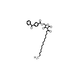 CCCCCCCCCCCCCCCC(=O)C1C(=O)OC(COC(=O)c2ccc(C(=O)c3ccccc3)cc2)C1=O